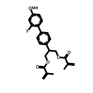 C=C(C)C(=O)OCC(COC(=O)C(=C)C)c1ccc(-c2ccc(OC)cc2F)cc1